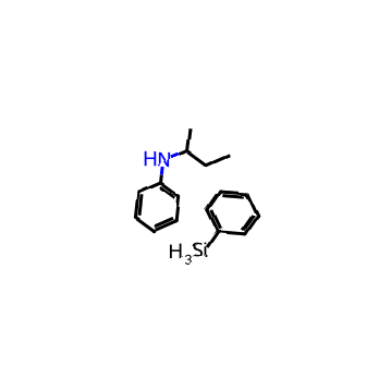 CCC(C)Nc1ccccc1.[SiH3]c1ccccc1